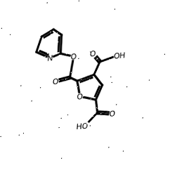 O=C(O)c1cc(C(=O)O)c(C(=O)Oc2ccccn2)o1